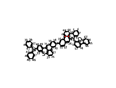 c1ccc(-c2ccccc2N(c2ccc3cc(-c4ccc5cc6c7c(cccc7c5c4)Sc4cc(N(c5ccccc5)c5ccccc5)ccc4-6)ccc3c2)c2cccc3c2oc2ccccc23)cc1